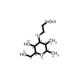 CCCCCCCCCCOC1C(C)C(C)OC(CO)C1O